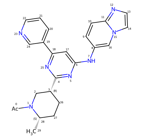 CC(=O)N1C[C@H](c2nc(Nc3ccc4nccn4c3)cc(-c3cccnc3)n2)CC[C@@H]1C